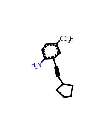 Nc1ccc(C(=O)O)cc1C#CC1CCCC1